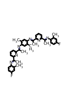 C/C(=N\c1ccc(F)cc1C)c1cccc(/C(C)=N/c2cc(C)c(/N=C(\C)c3cccc(/C(C)=N/c4ccc(F)cc4C)n3)cc2C)n1